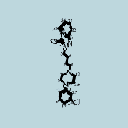 O=c1n(CCCCN2CCN(c3cccc(Cl)c3)CC2)nc2ccccn12